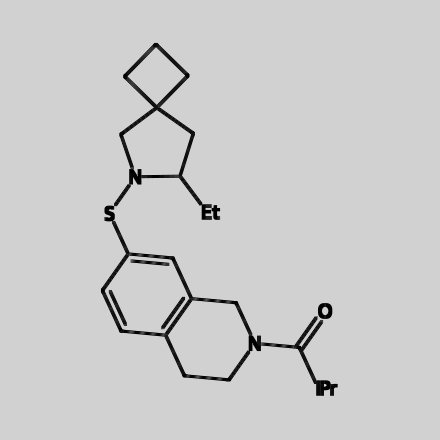 CCC1CC2(CCC2)CN1Sc1ccc2c(c1)CN(C(=O)C(C)C)CC2